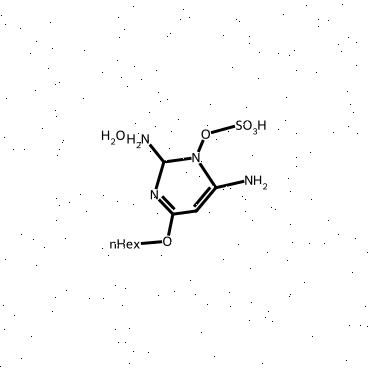 CCCCCCOC1=NC(N)N(OS(=O)(=O)O)C(N)=C1.O